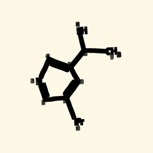 CC(C)c1cncc(C(C)S)c1